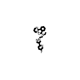 CCN(CCn1cc(-c2ccc(F)cn2)cn1)C(=O)c1ccccc1-c1ncccn1